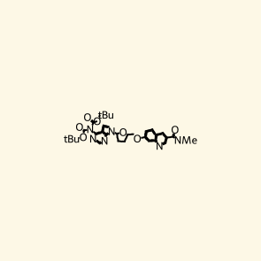 CNC(=O)c1cnc2cc(OCC3CCC(n4ccc5c(N(C(=O)OC(C)(C)C)C(=O)OC(C)(C)C)ncnc54)O3)ccc2c1